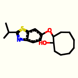 CC(C)c1nc2ccc(OC3CCCCCCCC3O)cc2s1